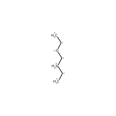 CCO[CH][SiH2]CC